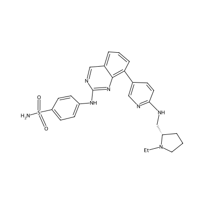 CCN1CCC[C@H]1CNc1ccc(-c2cccc3cnc(Nc4ccc(S(N)(=O)=O)cc4)nc23)cn1